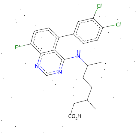 CC(CCC(C)Nc1ncnc2c(F)ccc(-c3ccc(Cl)c(Cl)c3)c12)CC(=O)O